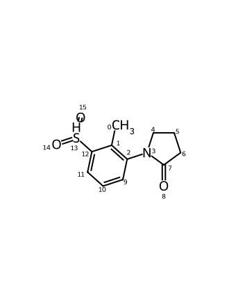 Cc1c(N2CCCC2=O)cccc1[SH](=O)=O